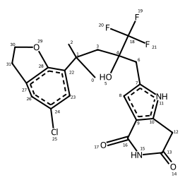 CC(C)(CC(O)(Cc1cc2c([nH]1)CC(=O)NC2=O)C(F)(F)F)c1cc(Cl)cc2c1OCC2